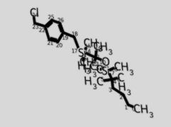 CCCCC(C)(C)[Si](C)(C)OC(C)(C)[Si](C)(C)CCc1ccc(CCl)cc1